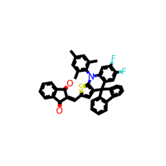 Cc1cc(C)c(N2c3cc(F)c(F)cc3C3(c4ccccc4-c4ccccc43)c3cc(C=C4C(=O)c5ccccc5C4=O)sc32)c(C)c1